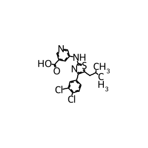 CC(C)Cc1sc(Nc2cncc(C(=O)O)c2)nc1-c1ccc(Cl)c(Cl)c1